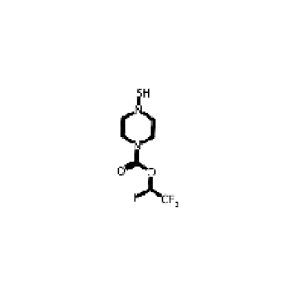 O=C(OC(I)C(F)(F)F)N1CCN(S)CC1